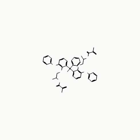 C=C(C)C(=O)OC(C)COc1c(Oc2ccccc2)cccc1C(C)(c1ccccc1)c1cccc(Oc2ccccc2)c1OCC(C)OC(=O)C(=C)C